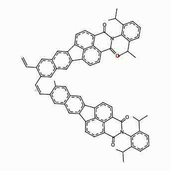 C=Cc1cc2cc3c(cc2cc1/C=C\c1cc2cc4c(cc2cc1C)-c1ccc2c5c(ccc-4c15)C(=O)N(c1c(C(C)C)cccc1C(C)C)C2=O)-c1ccc2c4c(ccc-3c14)C(=O)N(c1c(C(C)C)cccc1C(C)C)C2=O